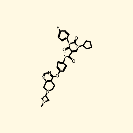 CN1CC(N2CCc3c(ncnc3Oc3ccc(NC(=O)c4cn(C5CCCC5)c(=O)n(-c5ccc(F)cc5)c4=O)cc3)C2)C1